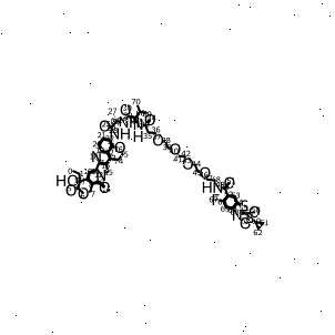 CC[C@@]1(O)C(=O)OCc2c1cc1n(c2=O)Cc2c-1nc1ccc(NC(=O)[C@H](C)NC(=O)[C@@H](NC(=O)CCOCCOCCOCCOCCNC(=O)c3cc4sc(S(=O)(=O)C5CC5)nc4cc3F)C(C)C)c3c1c2CCO3